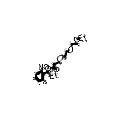 CCOCCOCCOCCC(=O)OC(CC)c1ccccc1[N+](=O)[O-]